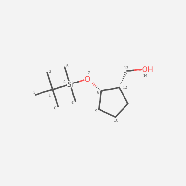 CC(C)(C)[Si](C)(C)O[C@H]1CCC[C@H]1CO